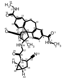 CNC(=O)c1ccc2c(c1)CCc1cc(C(=O)NC)ccc1C21C[C@@](C)(NCC(=O)N2C(C#N)C[C@@H]3C[C@@H]32)n2oc(=O)nc21